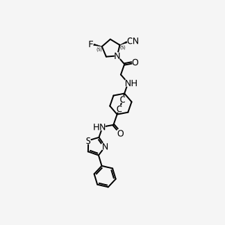 N#C[C@@H]1C[C@H](F)CN1C(=O)CNC12CCC(C(=O)Nc3nc(-c4ccccc4)cs3)(CC1)CC2